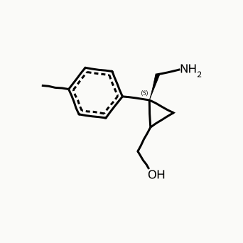 Cc1ccc([C@]2(CN)CC2CO)cc1